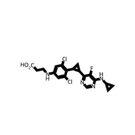 O=C(O)CCNc1cc(Cl)c(C2CC2c2ncnc(NC3CC3)c2F)c(Cl)c1